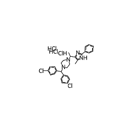 Cc1[nH]c(-c2ccccc2)nc1C(C)N1CCN(C(c2ccc(Cl)cc2)c2ccc(Cl)cc2)CC1.Cl.Cl.Cl